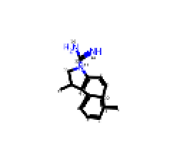 Cc1cccc2c3c(ccc12)N(C(=N)N)CC3C